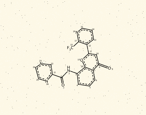 O=C(Nc1cccc2c(=O)cc(-c3cccnc3C(F)(F)F)oc12)c1cnccn1